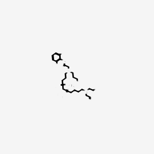 CCCCN(CCCC(C)(C)CC(C)(C)CCCCN(CC=O)CCC)CC(=O)Nc1c(C)cccc1C